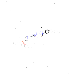 CCCCC(CCC)S(=O)(=O)C1CCN(CCCC(=O)Nc2nc(-c3ccc(OC)cc3)cs2)CC1